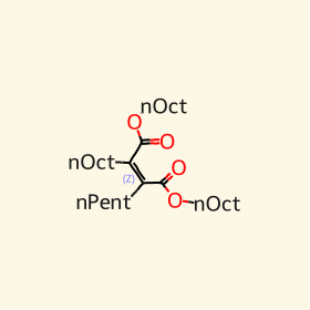 CCCCCCCCOC(=O)/C(CCCCC)=C(/CCCCCCCC)C(=O)OCCCCCCCC